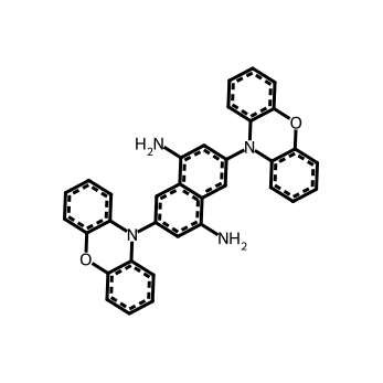 Nc1cc(N2c3ccccc3Oc3ccccc32)cc2c(N)cc(N3c4ccccc4Oc4ccccc43)cc12